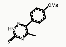 COc1ccc(-c2n[nH]c(=S)nc2C)cc1